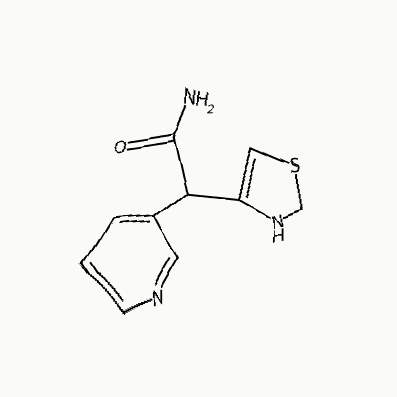 NC(=O)C(C1=CSCN1)c1cccnc1